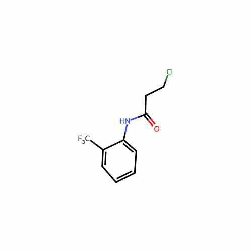 O=C(CCCl)Nc1ccccc1C(F)(F)F